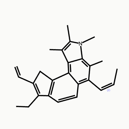 C=CC1=C(CC)c2ccc3c(/C=C\C)c(C)c4c(c(C)c(C)n4C)c3c2C1